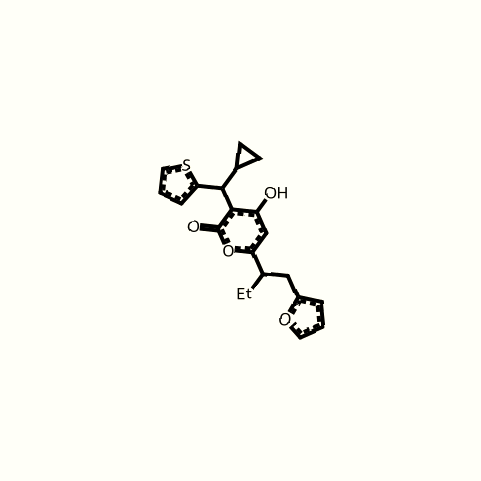 CCC(Cc1ccco1)c1cc(O)c(C(c2cccs2)C2CC2)c(=O)o1